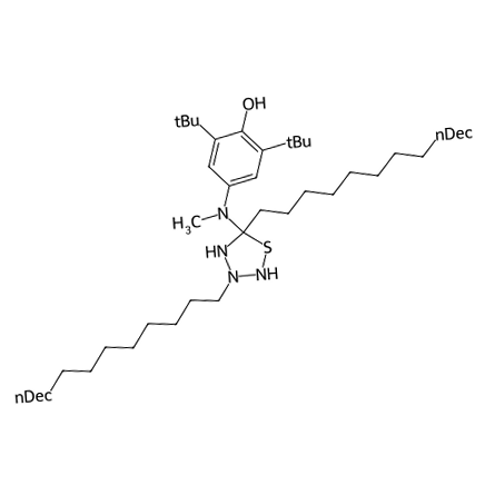 CCCCCCCCCCCCCCCCCCN1NSC(CCCCCCCCCCCCCCCCCC)(N(C)c2cc(C(C)(C)C)c(O)c(C(C)(C)C)c2)N1